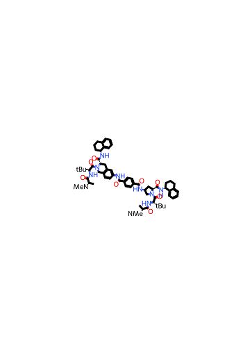 CN[C@@H](C)C(=O)N[C@H](C(=O)N1Cc2ccc(NC(=O)c3ccc(C(=O)N[C@H]4C[C@@H](C(=O)N[C@@H]5CCCc6ccccc65)N(C(=O)[C@@H](NC(=O)[C@H](C)NC)C(C)(C)C)C4)cc3)cc2C[C@H]1C(=O)N[C@@H]1CCCc2ccccc21)C(C)(C)C